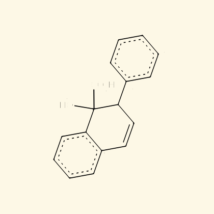 O=C(O)C1(O)c2ccccc2C=CC1c1ccccc1